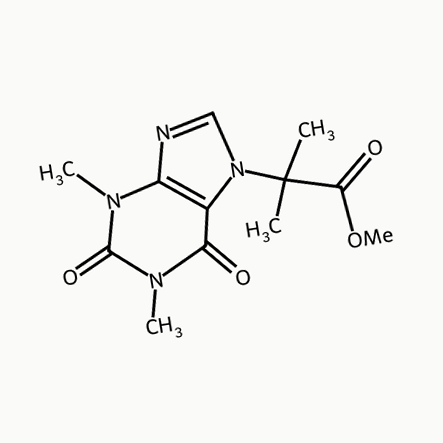 COC(=O)C(C)(C)n1cnc2c1c(=O)n(C)c(=O)n2C